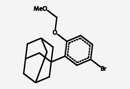 COCOc1ccc(Br)cc1C12CC3CC(CC(C3)C1)C2